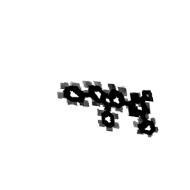 Clc1nc(-c2ccccc2)nc(-c2ccc3c4ccc(-c5ccccc5)cc4n(-c4ccccc4)c3c2)n1